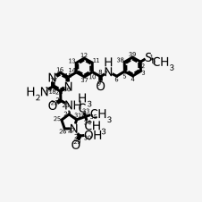 CSc1ccc(CNC(=O)c2cccc(-c3cnc(N)c(C(=O)N[C@H]4CCN(C(=O)O)C4C(C)(C)C)n3)c2)cc1